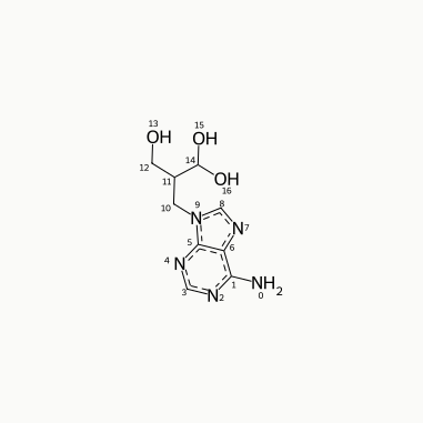 Nc1ncnc2c1ncn2CC(CO)C(O)O